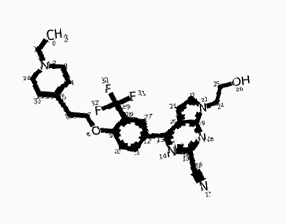 CCN1CCC(CCOc2ccc(-c3nc(C#N)nc4c3ccn4CCO)cc2C(F)(F)F)CC1